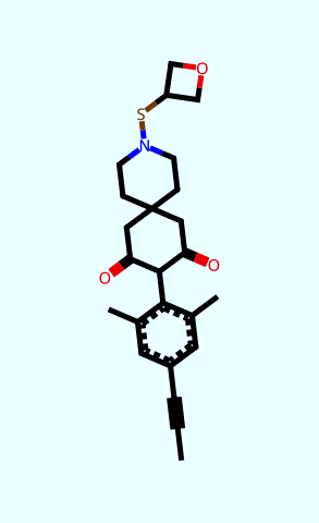 CC#Cc1cc(C)c(C2C(=O)CC3(CCN(SC4COC4)CC3)CC2=O)c(C)c1